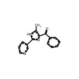 Cc1[nH]c(-c2cccnc2)nc1C(=O)c1ccccc1